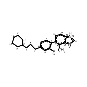 Cc1c(-c2ccc(CCCC3CCCCC3)cc2F)ccc2[nH]cnc12